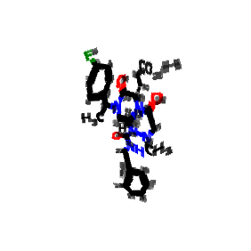 CC(c1ccc(F)cc1)N1C[C@H]2N(C(=O)CN(C)N2C(=O)NCc2ccccc2)[C@@H](CCC(=O)O)C1=O